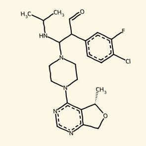 CC(C)NC(C(C=O)c1ccc(Cl)c(F)c1)N1CCN(c2ncnc3c2[C@H](C)OC3)CC1